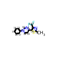 Cc1nc(C(F)F)c(C2=NCN(c3ccccc3)C=C2)s1